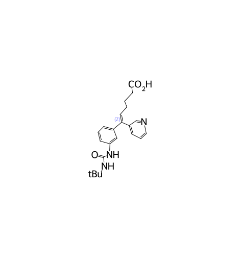 CC(C)(C)NC(=O)Nc1cccc(/C(=C/CCCC(=O)O)c2cccnc2)c1